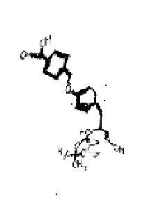 CC(C)(C)OC(=O)NC(C=NO)Cc1ccc(OCc2ccc(C(=O)O)cc2)cc1